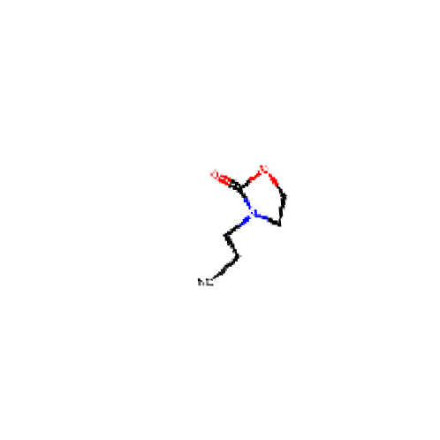 N#CCCN1CCOC1=O